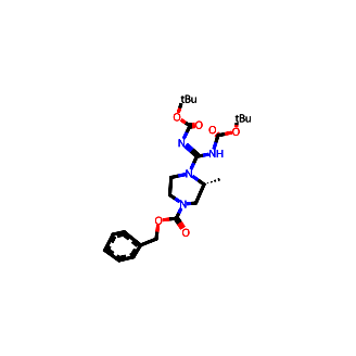 C[C@@H]1CN(C(=O)OCc2ccccc2)CCN1/C(=N/C(=O)OC(C)(C)C)NC(=O)OC(C)(C)C